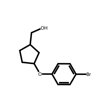 OCC1CCC(Oc2ccc(Br)cc2)C1